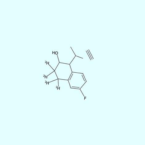 C#C.[2H]C1([2H])c2cc(F)ccc2C(C(C)C)C(O)C1([2H])[2H]